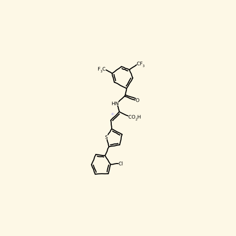 O=C(O)/C(=C\c1ccc(-c2ccccc2Cl)s1)NC(=O)c1cc(C(F)(F)F)cc(C(F)(F)F)c1